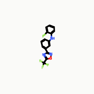 Fc1ccccc1Nc1[c]ccc(-c2noc(C(F)(F)F)n2)c1